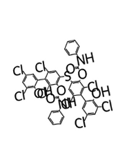 O=C(Nc1ccccc1)Oc1c(Sc2cc(Cl)c(-c3cc(Cl)cc(Cl)c3O)c(Cl)c2OC(=O)Nc2ccccc2)cc(Cl)c(-c2cc(Cl)cc(Cl)c2O)c1Cl